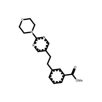 COC(=O)c1cccc(CCc2cnc(N3CCOCC3)nc2)c1